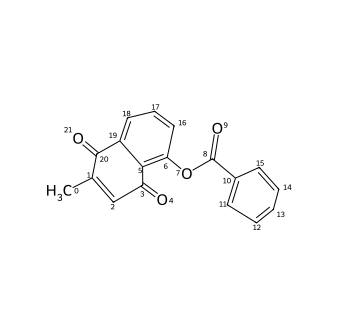 CC1=CC(=O)c2c(OC(=O)c3ccccc3)cccc2C1=O